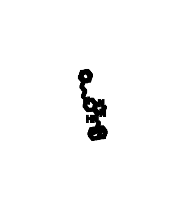 c1ccc(CCCN2CCc3c(ncnc3NCC34CC5CC(CC(C5)C3)C4)C2)cc1